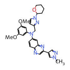 COc1cc(OC)cc(N(Cc2ccn(C3CCCCO3)n2)c2ccc3ncc(-c4cnn(C)c4)nc3c2)c1